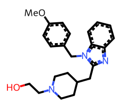 COc1ccc(Cn2c(CC3CCN(CCO)CC3)nc3ccccc32)cc1